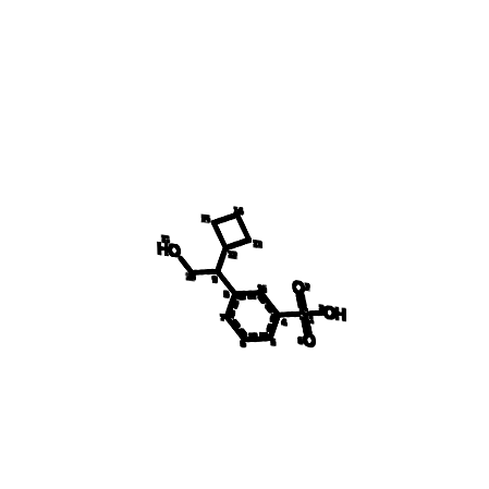 O=S(=O)(O)c1cccc(C(CO)C2CCC2)c1